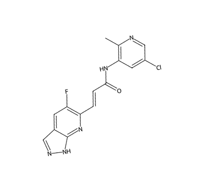 Cc1ncc(Cl)cc1NC(=O)/C=C/c1nc2[nH]ncc2cc1F